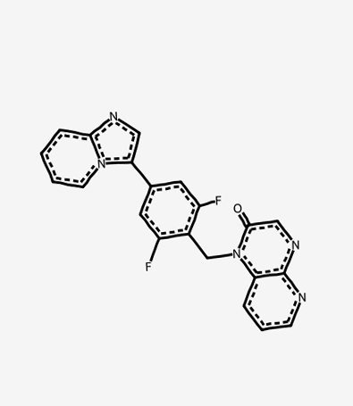 O=c1cnc2ncccc2n1Cc1c(F)cc(-c2cnc3ccccn23)cc1F